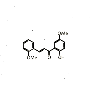 COc1ccc(O)c(C(=O)C=Cc2ccccc2OC)c1